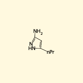 CCCc1cc(N)n[nH]1